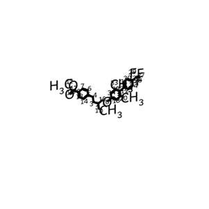 CCC(CCc1ccc(C(=O)OC)cc1)COc1cc(C)c(-c2ccc(C(F)(F)F)cc2)c(C)c1